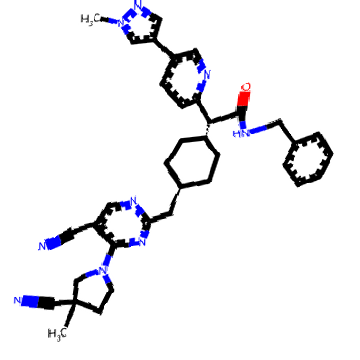 Cn1cc(-c2ccc(C(C(=O)NCc3ccccc3)[C@H]3CC[C@H](Cc4ncc(C#N)c(N5CCC(C)(C#N)C5)n4)CC3)nc2)cn1